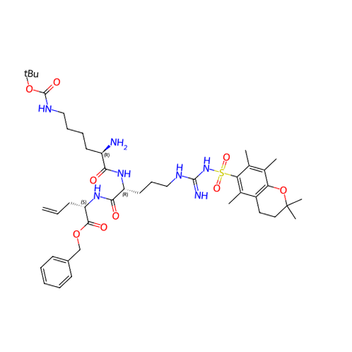 C=CC[C@H](NC(=O)[C@@H](CCCNC(=N)NS(=O)(=O)c1c(C)c(C)c2c(c1C)CCC(C)(C)O2)NC(=O)[C@H](N)CCCCNC(=O)OC(C)(C)C)C(=O)OCc1ccccc1